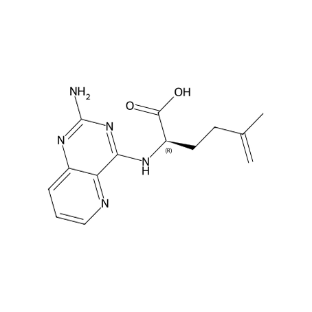 C=C(C)CC[C@@H](Nc1nc(N)nc2cccnc12)C(=O)O